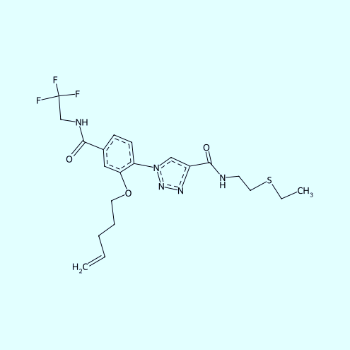 C=CCCCOc1cc(C(=O)NCC(F)(F)F)ccc1-n1cc(C(=O)NCCSCC)nn1